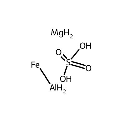 O=S(=O)(O)O.[AlH2][Fe].[MgH2]